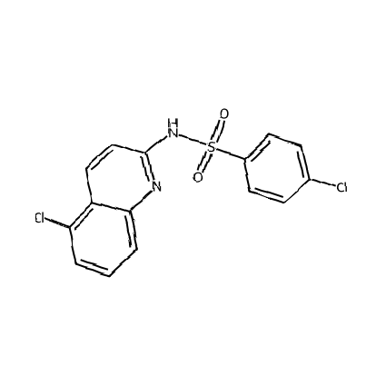 O=S(=O)(Nc1ccc2c(Cl)cccc2n1)c1ccc(Cl)cc1